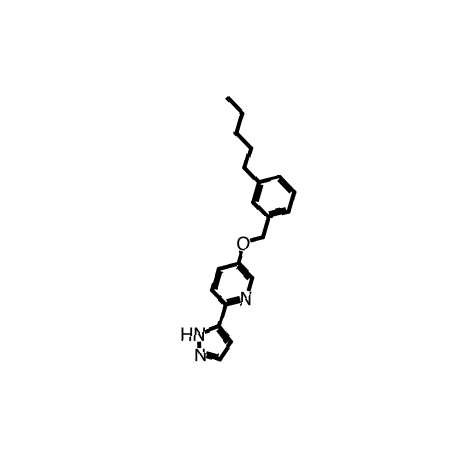 CCCCCc1cccc(COc2ccc(-c3ccn[nH]3)nc2)c1